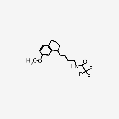 COc1ccc2c(c1)C(CCCCNC(=O)C(F)(F)F)CCC2